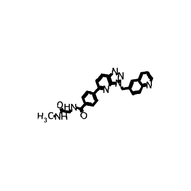 CNC(=O)CNC(=O)c1ccc(-c2ccc3nnn(Cc4ccc5ncccc5c4)c3n2)cc1